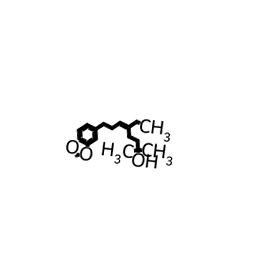 CCC(=CCCc1ccc2c(c1)OCO2)CCC(C)(C)O